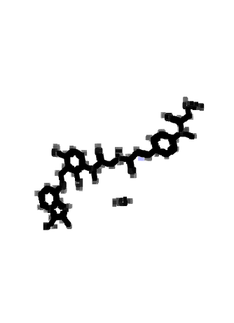 COCC(=O)N(C)c1ccc(/C=C/C(=O)NCC(=O)N(C)c2ccc(Cl)c(COc3cccn4c(Br)c(C)nc34)c2Cl)cc1.Cl